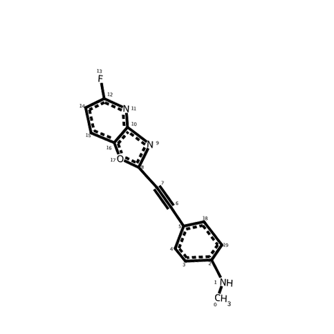 CNc1ccc(C#Cc2nc3nc(F)ccc3o2)cc1